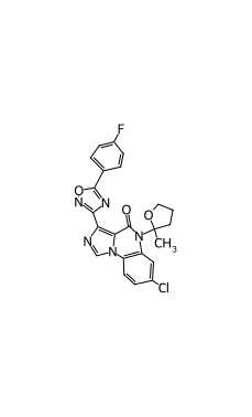 CC1(n2c(=O)c3c(-c4noc(-c5ccc(F)cc5)n4)ncn3c3ccc(Cl)cc32)CCCO1